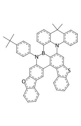 CC(C)(C)c1ccc(N2B3c4cccc5c4N(c4ccccc4C5(C)C)c4cc5sc6ccccc6c5c(c43)-c3cc4c(cc32)oc2ccccc24)cc1